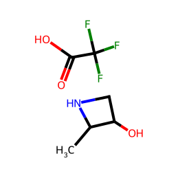 CC1NCC1O.O=C(O)C(F)(F)F